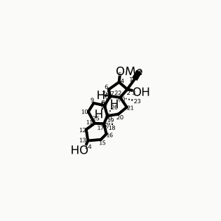 C#CC1(O)C(OC)C[C@H]2[C@@H]3CCC4CC(O)CC[C@]4(C)[C@@H]3CC[C@@]21C